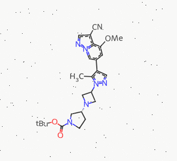 COc1cc(-c2cnn(C3CN([C@@H]4CCN(C(=O)OC(C)(C)C)C4)C3)c2C)cn2ncc(C#N)c12